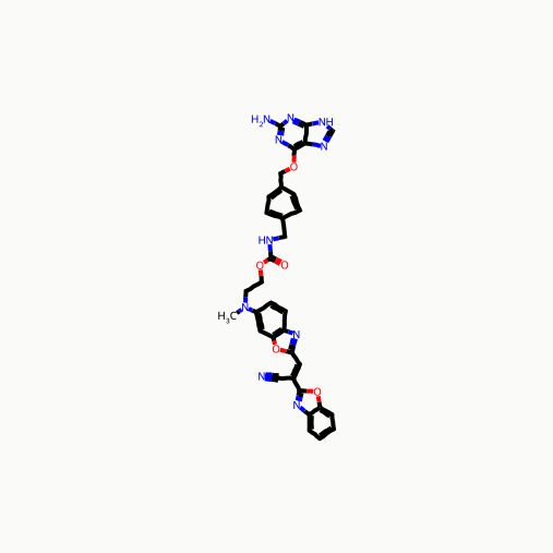 CN(CCOC(=O)NCc1ccc(COc2nc(N)nc3[nH]cnc23)cc1)c1ccc2nc(/C=C(\C#N)c3nc4ccccc4o3)oc2c1